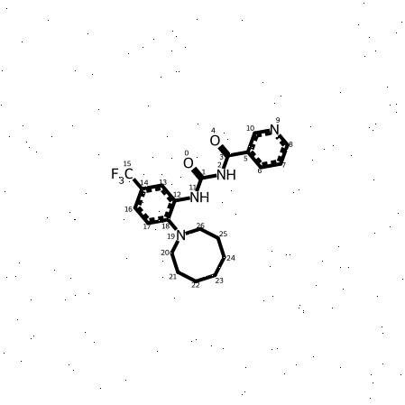 O=C(NC(=O)c1cccnc1)Nc1cc(C(F)(F)F)ccc1N1CCCCCCC1